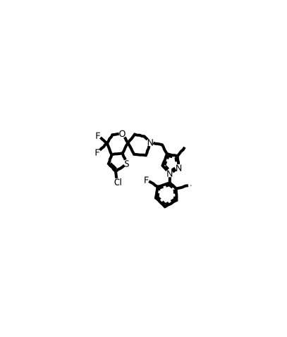 [CH2]c1cccc(F)c1-n1cc(CN2CCC3(CC2)OCC(F)(F)C2C=C(Cl)SC23)c(C)n1